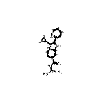 CC(C)OC(=O)c1ccn2c(C3CC3)c(-c3ccccn3)nc2c1